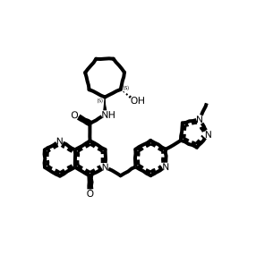 Cn1cc(-c2ccc(Cn3cc(C(=O)N[C@H]4CCCCC[C@@H]4O)c4ncccc4c3=O)cn2)cn1